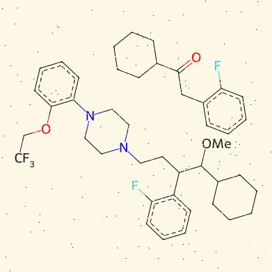 COC(C1CCCCC1)C(CCN1CCN(c2ccccc2OCC(F)(F)F)CC1)c1ccccc1F.O=C(Cc1ccccc1F)C1CCCCC1